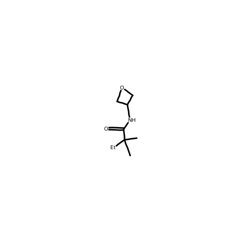 CCC(C)(C)C(=O)NC1COC1